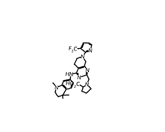 CN1CCC(C)(C)c2ccc(Nc3nc(CN4CCCC4C(=O)O)nc4c3CCN(c3ncccc3C(F)(F)F)C4)cc21